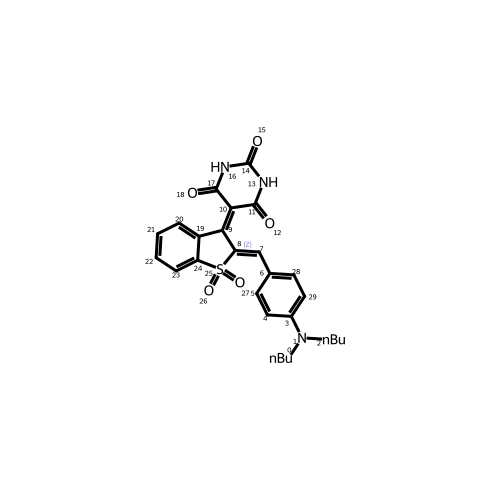 CCCCN(CCCC)c1ccc(/C=C2/C(=C3C(=O)NC(=O)NC3=O)c3ccccc3S2(=O)=O)cc1